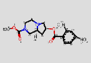 CC(C)(C)OC(=O)N1CCN2C[C@@H](OC(=O)c3ccc([N+](=O)[O-])cc3[N+](=O)[O-])C[C@H]2C1